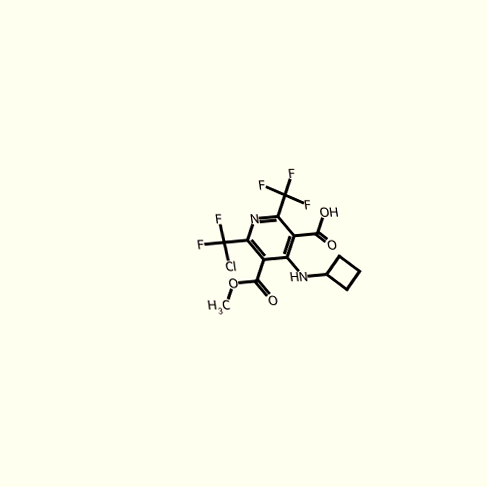 COC(=O)c1c(C(F)(F)Cl)nc(C(F)(F)F)c(C(=O)O)c1NC1CCC1